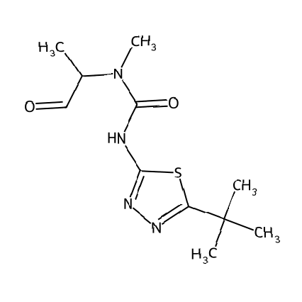 CC(C=O)N(C)C(=O)Nc1nnc(C(C)(C)C)s1